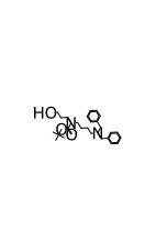 CC(C)(C)OC(=O)N(CCCO)CCCCN(Cc1ccccc1)Cc1ccccc1